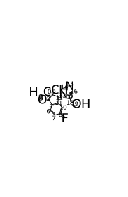 CC1(C)C(=O)c2ccc(F)cc2C1n1cncc1CO